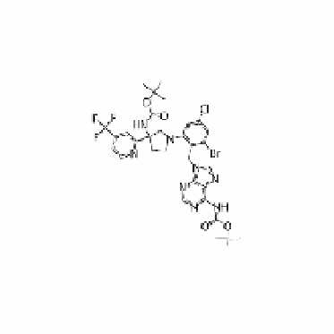 CC(C)(C)OC(=O)Nc1ncnc2c1ncn2Cc1c(Br)cc(Cl)cc1N1CCC(NC(=O)OC(C)(C)C)(c2cc(C(F)(F)F)ccn2)C1